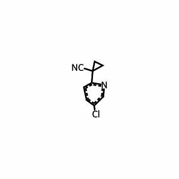 N#CC1(c2ccc(Cl)cn2)CC1